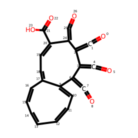 O=C=C1C(=C=O)C(=C=O)C2=CC=CC=CC=CC2=CC=C(C(=O)O)C1=C=O